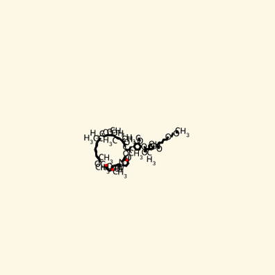 COCCOCCCCC(=O)OCC(C)(CO)C(=O)O[C@@H]1CC[C@@H](C[C@@H](C)[C@@H]2CC(=O)[C@H](C)/C=C(\C)[C@@H](O)[C@@H](OC)C(=O)[C@H](C)C[C@H](C)/C=C/C=C/C=C(\C)[C@@H](OC)C[C@@H]3CC[C@@H](C)[C@@](O)(O3)C(=O)C(=O)N3CCCC[C@H]3C(=O)O2)C[C@H]1OC